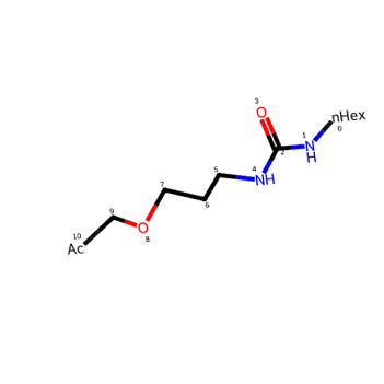 CCCCCCNC(=O)NCCCOCC(C)=O